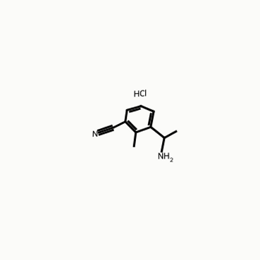 Cc1c(C#N)cccc1C(C)N.Cl